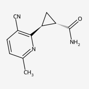 Cc1ccc(C#N)c([C@H]2C[C@@H]2C(N)=O)n1